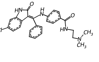 CN(C)CCNC(=O)c1ccc(N/C(=C2\C(=O)Nc3cc(Cl)ccc32)c2ccccc2)cc1